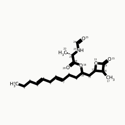 CCC/C=C/C/C=C/CCC(CC1OC(=O)C1C)OC(=O)[C@H](C)NC=O